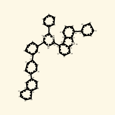 c1ccc(-c2nc(-c3cccc(-c4ccc(-c5ccc6ccccc6c5)cc4)c3)nc(-c3cccc4oc5c(-c6ccccc6)cccc5c34)n2)cc1